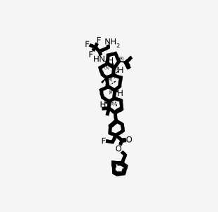 C=C(C)[C@@H]1CC[C@]2(NC(CN)C(F)(F)F)CC[C@]3(C)[C@H](CC[C@@H]4[C@@]5(C)CC=C(C6=CCC(CF)(C(=O)OCc7ccccc7)CC6)C(C)(C)[C@@H]5CC[C@]43C)[C@@H]12